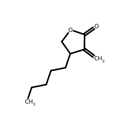 C=C1C(=O)OCC1CCCCC